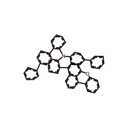 c1ccc(-c2ccc(-c3ccccc3N(c3ccc(-c4ccccc4)cc3)c3ccccc3-c3ccc4c5c(cccc35)-c3ccccc3O4)cc2)cc1